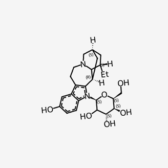 CC[C@H]1C[C@H]2C[C@H]3c4c(c5cc(O)ccc5n4[C@H]4O[C@@H](CO)[C@@H](O)[C@H](O)C4O)CCN(C2)C13